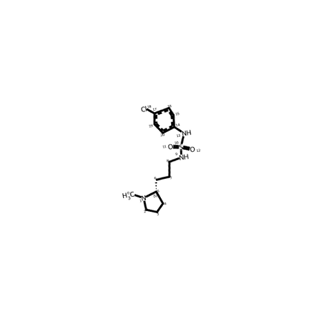 CN1CCC[C@H]1CCCNS(=O)(=O)Nc1ccc(Cl)cc1